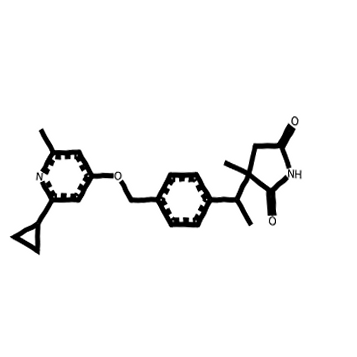 Cc1cc(OCc2ccc(C(C)C3(C)CC(=O)NC3=O)cc2)cc(C2CC2)n1